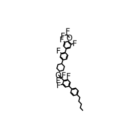 CCCCCc1ccc(-c2cc(F)c(C(F)(F)OC3CCC(c4ccc(-c5cc(F)c(OC(F)F)c(F)c5)c(F)c4)CC3)c(F)c2)cc1